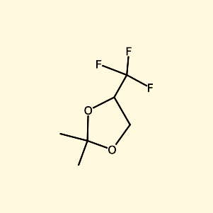 CC1(C)OCC(C(F)(F)F)O1